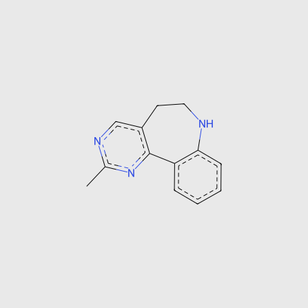 Cc1ncc2c(n1)-c1ccccc1NCC2